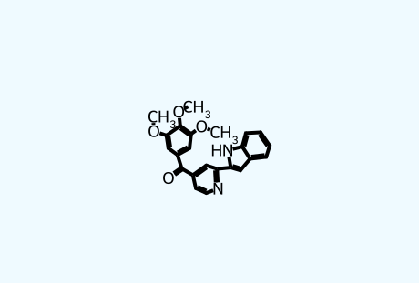 COc1cc(C(=O)c2ccnc(-c3cc4ccccc4[nH]3)c2)cc(OC)c1OC